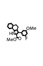 COC(=O)c1[nH]c2c(c1-c1cc(F)cc(OC)c1)CCc1ccccc1-2